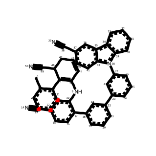 Cc1ccccc1C1=C(Nc2cc(C#N)ccc2-c2cccc(-c3cccc(-n4c5ccccc5c5cc(C#N)ccc54)c3)c2)C=CCC1C#N